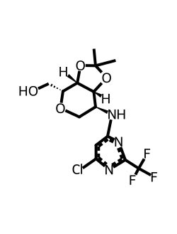 CC1(C)O[C@@H]2[C@H](O1)[C@@H](Nc1cc(Cl)nc(C(F)(F)F)n1)CO[C@@H]2CO